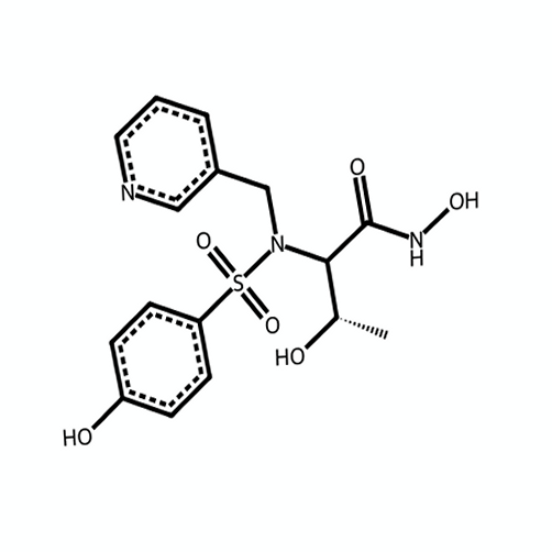 C[C@H](O)C(C(=O)NO)N(Cc1cccnc1)S(=O)(=O)c1ccc(O)cc1